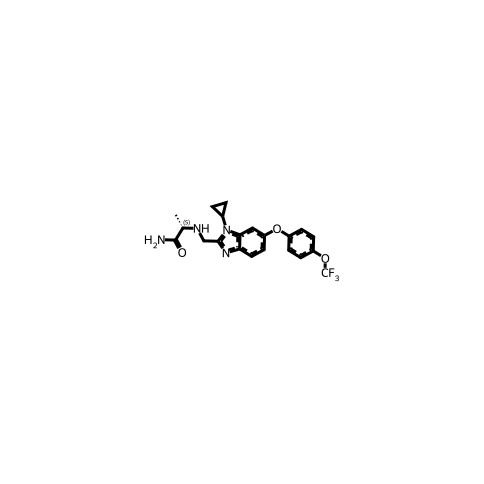 C[C@H](NCc1nc2ccc(Oc3ccc(OC(F)(F)F)cc3)cc2n1C1CC1)C(N)=O